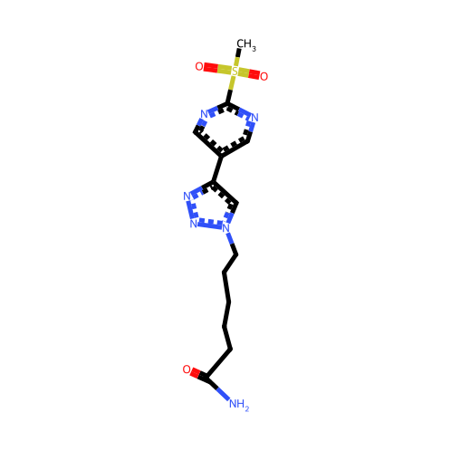 CS(=O)(=O)c1ncc(-c2cn(CCCCCC(N)=O)nn2)cn1